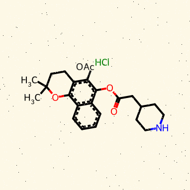 CC(=O)Oc1c2c(c3ccccc3c1OC(=O)CC1CCNCC1)OC(C)(C)CC2.Cl